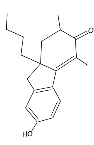 CCCCC12Cc3cc(O)ccc3C1=C(C)C(=O)C(C)C2